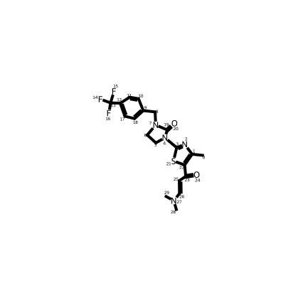 Cc1nc(N2CCN(Cc3ccc(C(F)(F)F)cc3)C2=O)sc1C(=O)C=CN(C)C